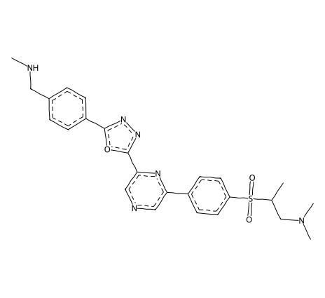 CNCc1ccc(-c2nnc(-c3cncc(-c4ccc(S(=O)(=O)C(C)CN(C)C)cc4)n3)o2)cc1